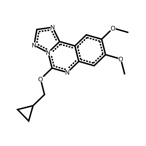 COc1cc2nc(OCC3CC3)n3ncnc3c2cc1OC